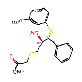 COC(=O)CSC[C@@H](O)[C@@H](Sc1cccc(OC)c1)c1ccccc1